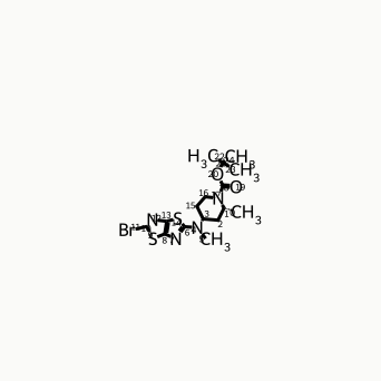 C[C@@H]1C[C@@H](N(C)c2nc3sc(Br)nc3s2)CCN1C(=O)OC(C)(C)C